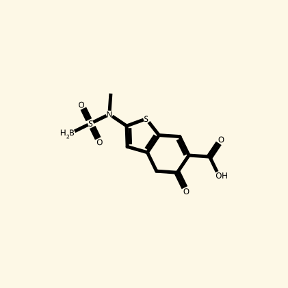 BS(=O)(=O)N(C)c1cc2c(s1)C=C(C(=O)O)C(=O)C2